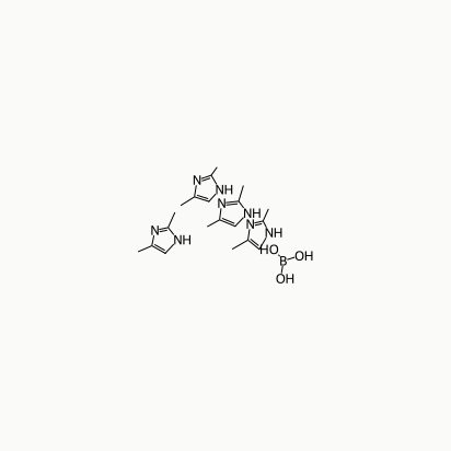 Cc1c[nH]c(C)n1.Cc1c[nH]c(C)n1.Cc1c[nH]c(C)n1.Cc1c[nH]c(C)n1.OB(O)O